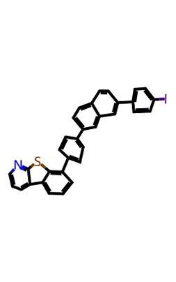 Ic1ccc(-c2ccc3ccc(-c4ccc(-c5cccc6c5sc5ncccc56)cc4)cc3c2)cc1